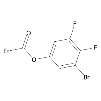 CCC(=O)Oc1cc(F)c(F)c(Br)c1